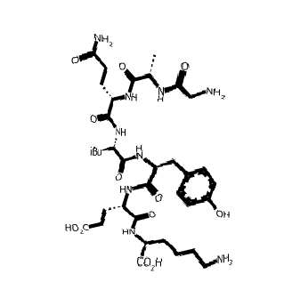 CC[C@H](C)[C@H](NC(=O)[C@H](CCC(N)=O)NC(=O)[C@H](C)NC(=O)CN)C(=O)N[C@@H](Cc1ccc(O)cc1)C(=O)N[C@@H](CCC(=O)O)C(=O)N[C@@H](CCCCN)C(=O)O